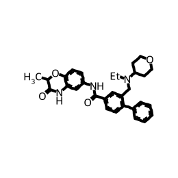 CCN(Cc1cc(C(=O)Nc2ccc3c(c2)NC(=O)C(C)O3)ccc1-c1ccccc1)C1CCOCC1